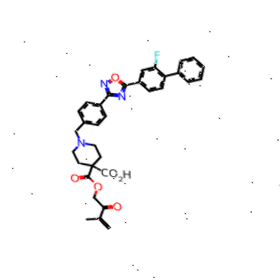 C=C(C)C(=O)COC(=O)C1(C(=O)O)CCN(Cc2ccc(-c3noc(-c4ccc(-c5ccccc5)c(F)c4)n3)cc2)CC1